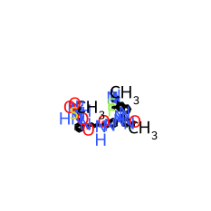 CC(=O)N1CCc2c(c(N3CCCc4cc(-c5cnn(C)c5)c(C(F)F)cc43)nn2C2CCN(CC(=O)NCCCC(=O)Nc3ccccc3C(=O)Nc3nc(C)c([N+](=O)[O-])s3)CC2)C1